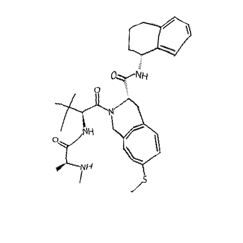 CN[C@@H](C)C(=O)N[C@H](C(=O)N1Cc2cc(SC)ccc2C[C@H]1C(=O)N[C@@H]1CCCc2ccccc21)C(C)(C)C